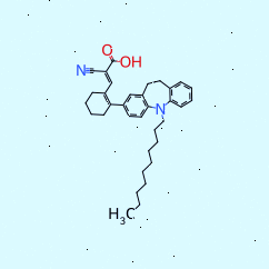 CCCCCCCCCCN1c2ccccc2CCc2cc(C3=C(/C=C(\C#N)C(=O)O)CCCC3)ccc21